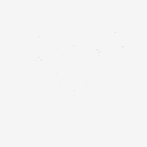 c1cc(N2CCCC2)cc([Si]2(c3cccc(N4CCCC4)c3)CCCCC2)c1